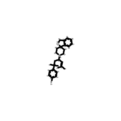 CC(C)=CC(CC(C)(C)c1ccc(F)cc1)N1CCC2(CC1)OCc1ccccc12